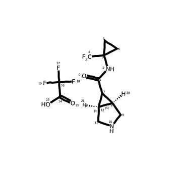 O=C(NC1(C(F)(F)F)CC1)C1[C@H]2CNC[C@@H]12.O=C(O)C(F)(F)F